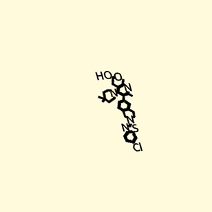 Cc1nc(C)c(-c2ccc3c(c2)CCN(c2nc4ccc(Cl)cc4s2)C3)c(N2CCC(C)(C)CC2)c1CC(=O)O